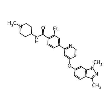 CCc1cc(-c2cc(Oc3ccc4c(C)nn(C)c4c3)ccn2)ccc1C(=O)NC1CCN(C)CC1